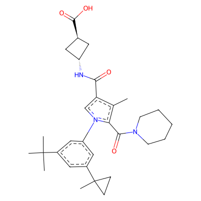 Cc1c(C(=O)N[C@H]2C[C@H](C(=O)O)C2)cn(-c2cc(C(C)(C)C)cc(C3(C)CC3)c2)c1C(=O)N1CCCCC1